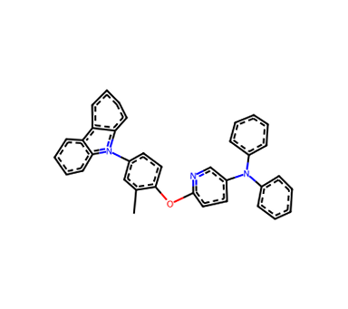 Cc1cc(-n2c3ccccc3c3ccccc32)ccc1Oc1ccc(N(c2ccccc2)c2ccccc2)cn1